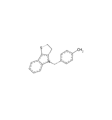 Cc1ccc(Cn2c3c(c4ccccc42)SCC3)cc1